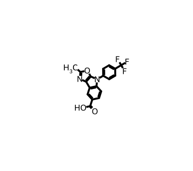 Cc1nc2c3cc(C(=O)O)ccc3n(-c3ccc(C(F)(F)F)cc3)c2o1